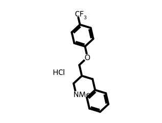 CNCC(COc1ccc(C(F)(F)F)cc1)Cc1ccccc1.Cl